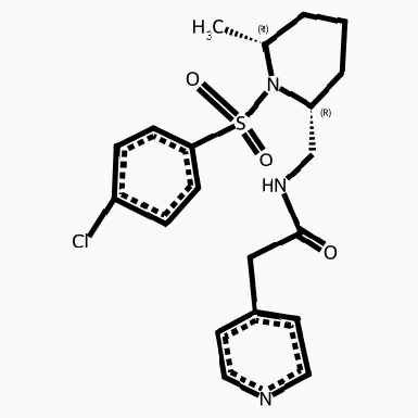 C[C@@H]1CCC[C@H](CNC(=O)Cc2ccncc2)N1S(=O)(=O)c1ccc(Cl)cc1